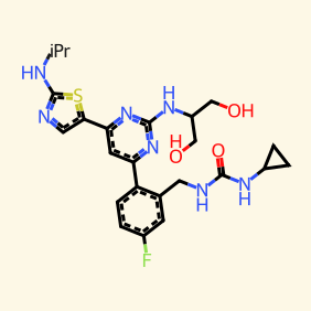 CC(C)Nc1ncc(-c2cc(-c3ccc(F)cc3CNC(=O)NC3CC3)nc(NC(CO)CO)n2)s1